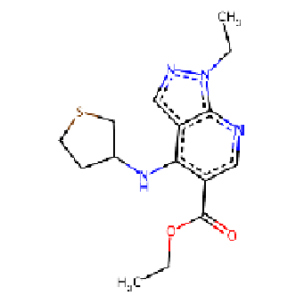 CCOC(=O)c1cnc2c(cnn2CC)c1NC1CCSC1